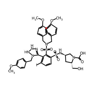 COc1ccc(CN2NNN=C2c2c(I)ccc(S(=O)(=O)N[C@@H]3C[C@@H](CO)N(C(=O)O)C3)c2S(=O)(=O)N(Cc2ccc(OC)cc2)Cc2ccc(OC)cc2)cc1